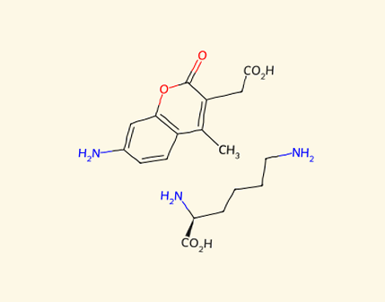 Cc1c(CC(=O)O)c(=O)oc2cc(N)ccc12.NCCCC[C@H](N)C(=O)O